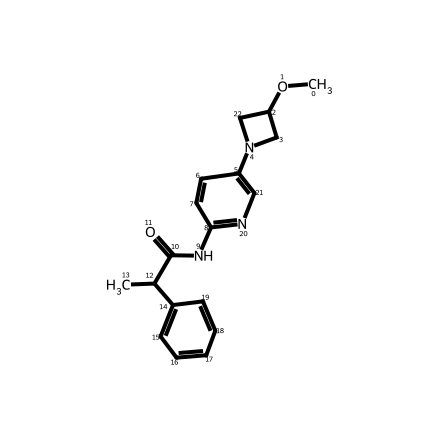 COC1CN(c2ccc(NC(=O)C(C)c3ccccc3)nc2)C1